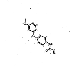 C=CC(=O)Nc1ccc(Oc2cccc(OC)c2)cc1